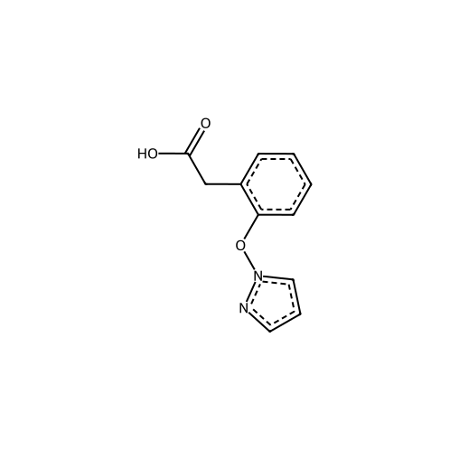 O=C(O)Cc1ccccc1On1cccn1